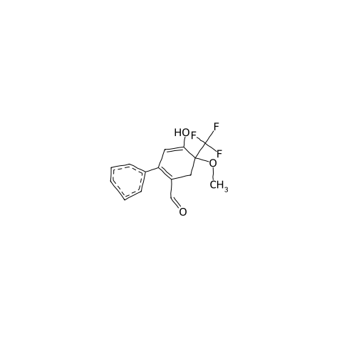 COC1(C(F)(F)F)CC(C=O)=C(c2ccccc2)C=C1O